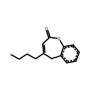 O=C1C=C(CCCI)Cc2ccccc2O1